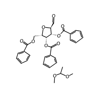 COC(C)OC.O=C[C@@H]1O[C@@H](COC(=O)c2ccccc2)[C@@H](OC(=O)c2ccccc2)[C@H]1OC(=O)c1ccccc1